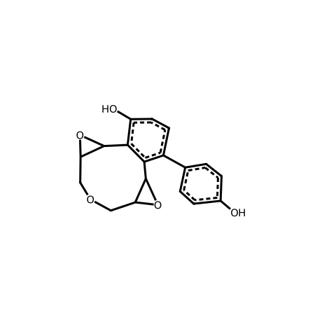 Oc1ccc(-c2ccc(O)c3c2C2OC2COCC2OC32)cc1